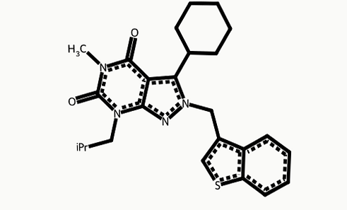 CC(C)Cn1c(=O)n(C)c(=O)c2c(C3CCCCC3)n(Cc3csc4ccccc34)nc21